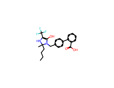 CCCCC1(C)NC(C(F)(F)F)=C(O)N1Cc1ccc(-c2ccccc2C(=O)O)cc1